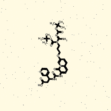 CC(C)(C)OC(=O)/N=C(\N)N(CCCOc1ccc2ccc(NC(=O)NC(CC(=O)O)c3cccnc3)c(=O)n2c1)C(=O)OC(C)(C)C